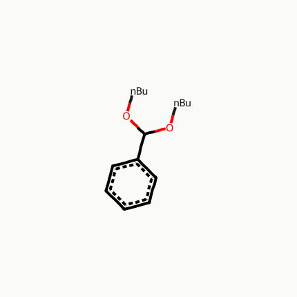 CCCCOC(OCCCC)c1ccccc1